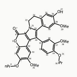 CCCOc1cc2oc(=O)c3c(c(-c4ccc(OC(C)C)c(OC)c4)c4n3CCc3cc(O)c(OC)cc3-4)c2cc1OC